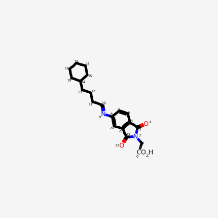 O=C(O)CN1C(=O)c2ccc(/N=C/CCCC3CCCCC3)cc2C1=O